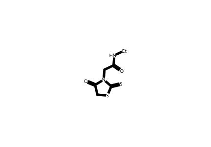 CCNC(=O)CN1C(=O)CSC1=S